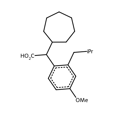 COc1ccc(C(C(=O)O)C2CCCCCC2)c(CC(C)C)c1